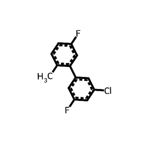 Cc1ccc(F)cc1-c1cc(F)cc(Cl)c1